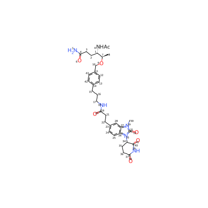 CC(=O)N[C@@H](CCC(N)=O)[C@@H](C)OCc1ccc(CCCNC(=O)CCc2ccc3c(c2)n(C)c(=O)n3C2CCC(=O)NC2=O)cc1